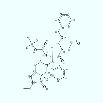 CCN1N=C2CCN(CC(C)(NC(=O)OC(C)(C)C)C(=O)N(CC=O)COCc3ccccc3)CC2(Cc2ccccc2)C1=O